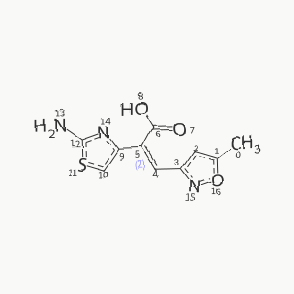 Cc1cc(/C=C(\C(=O)O)c2csc(N)n2)no1